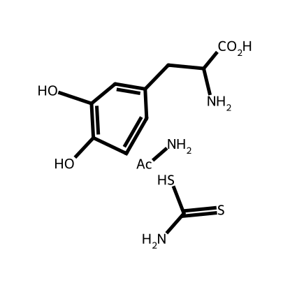 CC(N)=O.NC(=S)S.NC(Cc1ccc(O)c(O)c1)C(=O)O